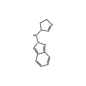 C1=NCCN1Nn1cc2ccccc2n1